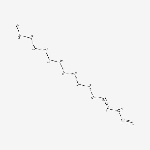 C=COC=CCCCCCCCCCCCC